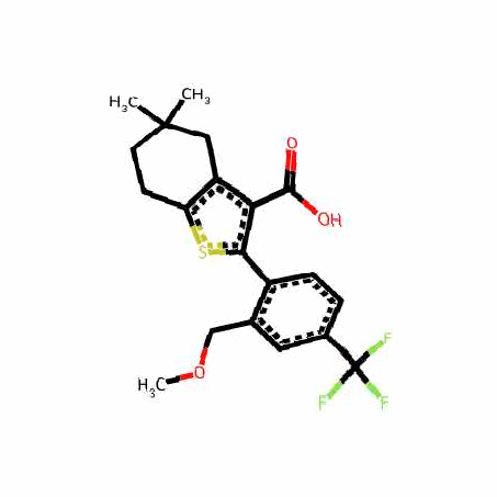 COCc1cc(C(F)(F)F)ccc1-c1sc2c(c1C(=O)O)CC(C)(C)CC2